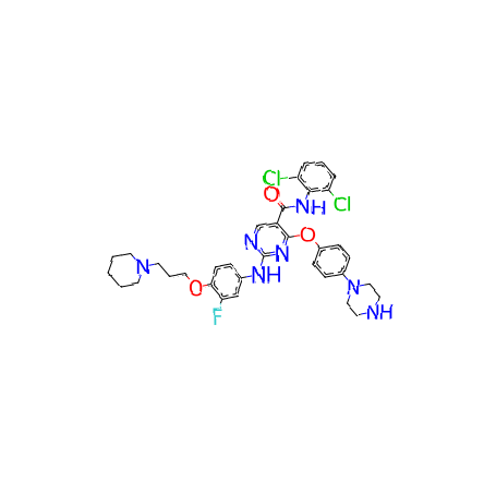 O=C(Nc1c(Cl)cccc1Cl)c1cnc(Nc2ccc(OCCCN3CCCCC3)c(F)c2)nc1Oc1ccc(N2CCNCC2)cc1